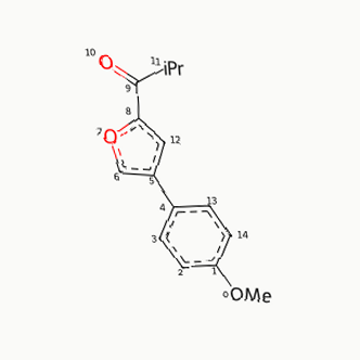 COc1ccc(-c2coc(C(=O)C(C)C)c2)cc1